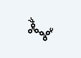 CCCC(C)(CCC)c1ccc(N(c2ccccc2)c2ccc(-c3ccc(N(c4ccccc4)c4ccc(C(C)(CC)CC)cc4)cc3)cc2)cc1